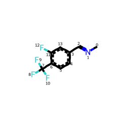 C/N=C/c1ccc(C(F)(F)F)c(F)c1